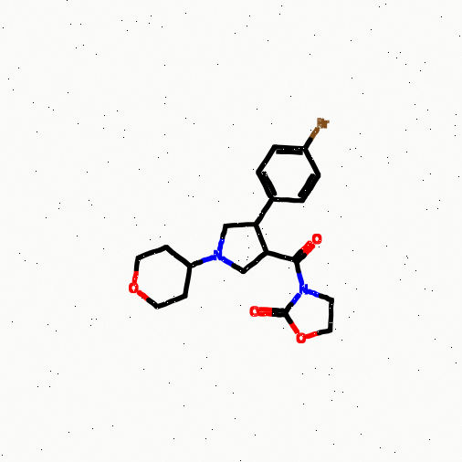 O=C1OCCN1C(=O)C1CN(C2CCOCC2)CC1c1ccc(Br)cc1